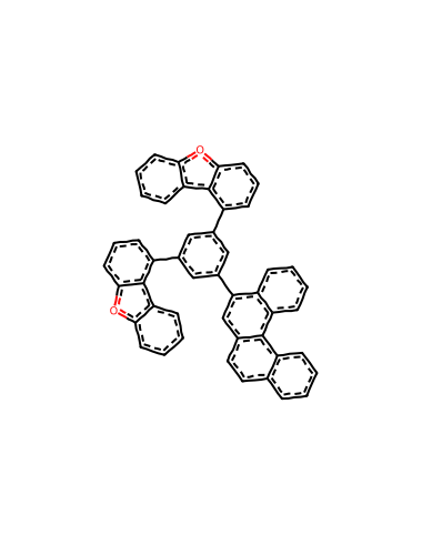 c1ccc2c(c1)ccc1cc(-c3cc(-c4cccc5oc6ccccc6c45)cc(-c4cccc5oc6ccccc6c45)c3)c3ccccc3c12